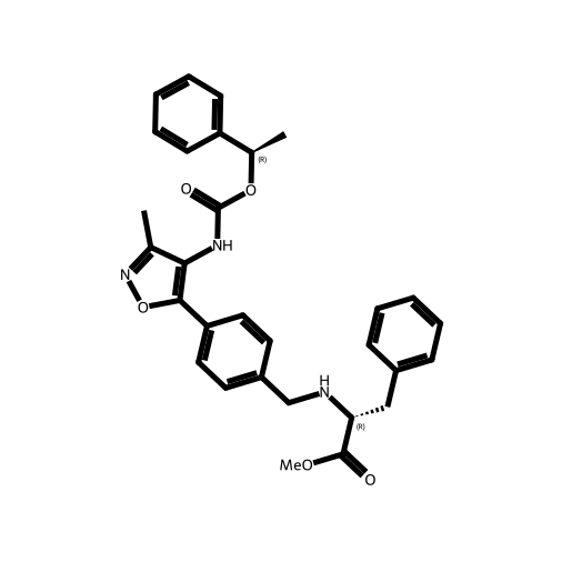 COC(=O)[C@@H](Cc1ccccc1)NCc1ccc(-c2onc(C)c2NC(=O)O[C@H](C)c2ccccc2)cc1